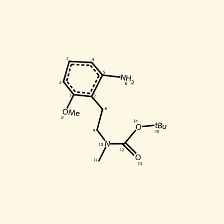 COc1cccc(N)c1CCN(C)C(=O)OC(C)(C)C